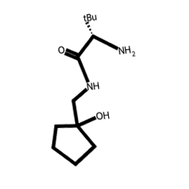 CC(C)(C)[C@H](N)C(=O)NCC1(O)CCCC1